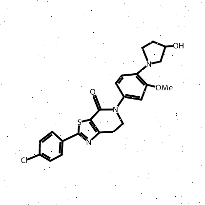 COc1cc(N2CCc3nc(-c4ccc(Cl)cc4)sc3C2=O)ccc1N1CCC(O)C1